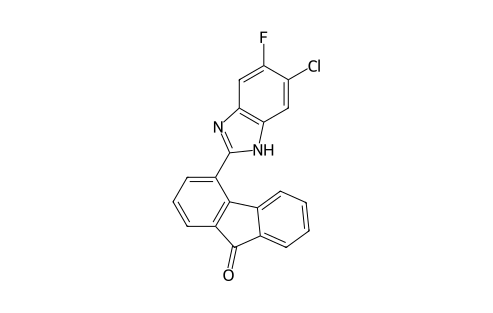 O=C1c2ccccc2-c2c1cccc2-c1nc2cc(F)c(Cl)cc2[nH]1